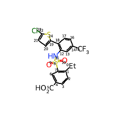 CCc1ccc(C(=O)O)cc1S(=O)(=O)Nc1cc(C(F)(F)F)ccc1-c1ccc(Cl)s1